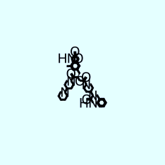 Cc1cc(C[C@@H](OC(=O)N2CCC(N3Cc4ccccc4NC3=O)CC2)C(=O)N2CCC(N3CCCCC3)CC2)cc2oc(=O)[nH]c12